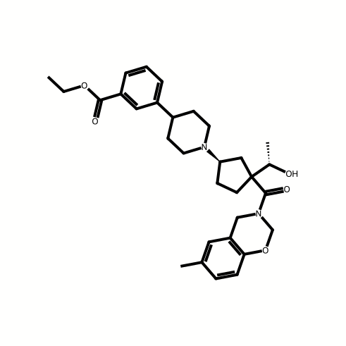 CCOC(=O)c1cccc(C2CCN([C@@H]3CCC(C(=O)N4COc5ccc(C)cc5C4)([C@H](C)O)C3)CC2)c1